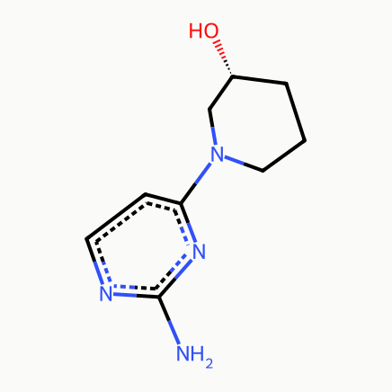 Nc1nccc(N2CCC[C@@H](O)C2)n1